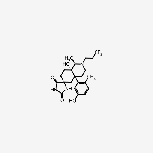 Cc1ccc(O)cc1[C@]12CCN(CCC(F)(F)F)[C@H](C)[C@]1(O)CC[C@@]1(C2)NC(=O)NC1=O